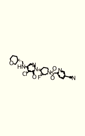 N#Cc1ccc(S(=O)(=O)N2CC[C@@H](n3ncc(NC[C@H]4CCCOC4)c(Cl)c3=O)[C@H](F)C2)nc1